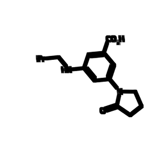 CC(C)CNc1cc(C(=O)O)cc(N2CCCC2=O)c1